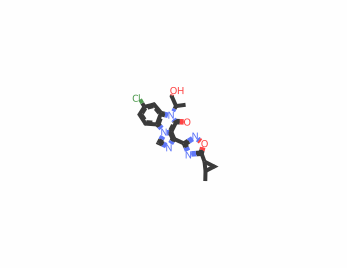 CC1CC1c1nc(-c2ncn3c2c(=O)n(C(C)CO)c2cc(Cl)ccc23)no1